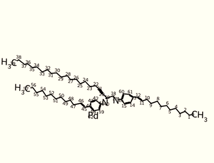 CCCCCCCCCCCC=Cc1ccc(N=CC(C#CCCCCCCCCCCCCCCCCCC)=Nc2ccc(C=CCCCCCCCCCCC)cc2)cc1.[Pd]